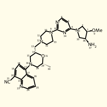 CO[C@@H]1CN(c2ccnc(N3CCN(C[C@H]4CN(c5ccc(C#N)c6ncccc56)C[C@@H](C)O4)CC3)n2)C[C@@H]1N